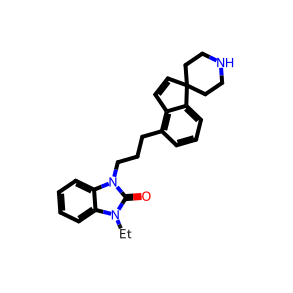 CCn1c(=O)n(CCCc2cccc3c2C=CC32CCNCC2)c2ccccc21